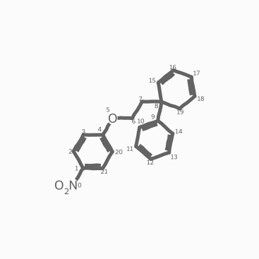 O=[N+]([O-])c1ccc(OCCC2(c3ccccc3)C=CC=CC2)cc1